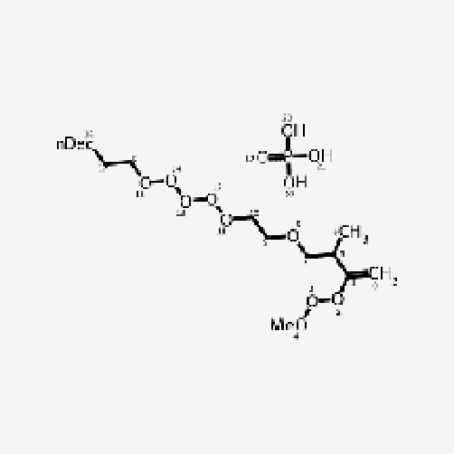 C=C(OOOC)C(C)COCCOOOOOCCCCCCCCCCCC.O=P(O)(O)O